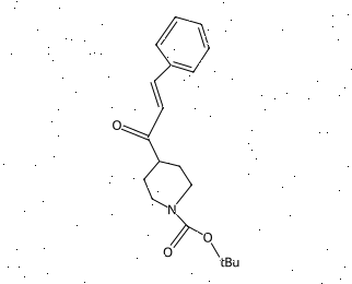 CC(C)(C)OC(=O)N1CCC(C(=O)C=Cc2ccccc2)CC1